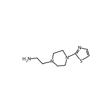 NCCN1CCN(c2nccs2)CC1